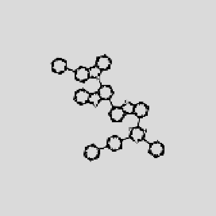 c1ccc(-c2ccc(-c3nc(-c4ccccc4)nc(-c4cccc5oc6c(-c7ccc(-n8c9ccccc9c9cc(-c%10ccccc%10)ccc98)c8c7oc7ccccc78)cccc6c45)n3)cc2)cc1